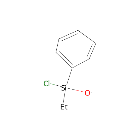 CC[Si]([O])(Cl)c1ccccc1